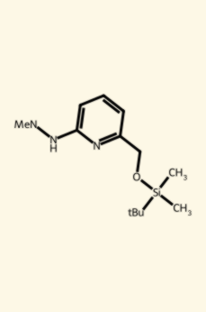 CNNc1cccc(CO[Si](C)(C)C(C)(C)C)n1